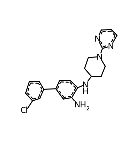 Nc1cc(-c2cccc(Cl)c2)ccc1NC1CCN(c2ncccn2)CC1